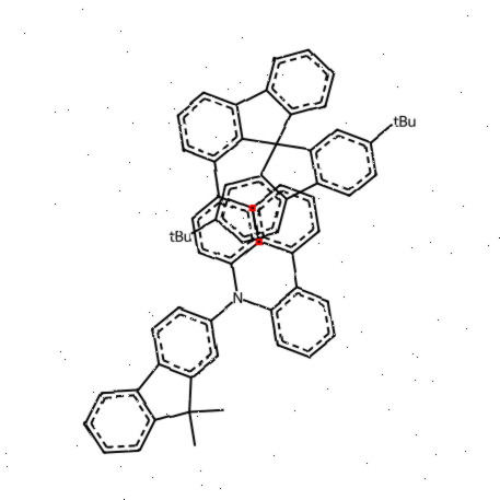 CC(C)(C)c1ccc2c(c1)C1(c3cc(C(C)(C)C)ccc3-2)c2ccccc2-c2cccc(-c3ccc(N(c4ccc5c(c4)C(C)(C)c4ccccc4-5)c4ccccc4-c4ccccc4)cc3)c21